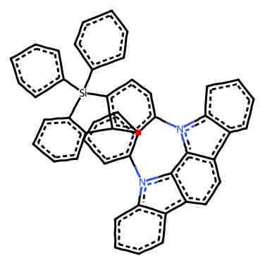 c1ccc(-n2c3ccccc3c3ccc4c5ccccc5n(-c5ccc6c(c5)-c5ccccc5[Si]6(c5ccccc5)c5ccccc5)c4c32)cc1